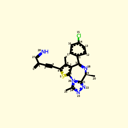 C=C(C#Cc1sc2c(c1C)C(c1ccc(Cl)cc1)=N[C@@H](C)c1nnc(C)n1-2)C=N